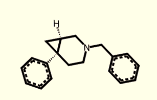 c1ccc(CN2CC[C@@]3(c4ccccc4)C[C@H]3C2)cc1